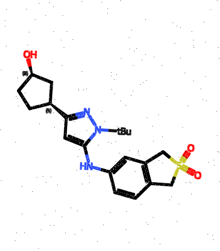 CC(C)(C)n1nc([C@H]2CC[C@@H](O)C2)cc1Nc1ccc2c(c1)CS(=O)(=O)C2